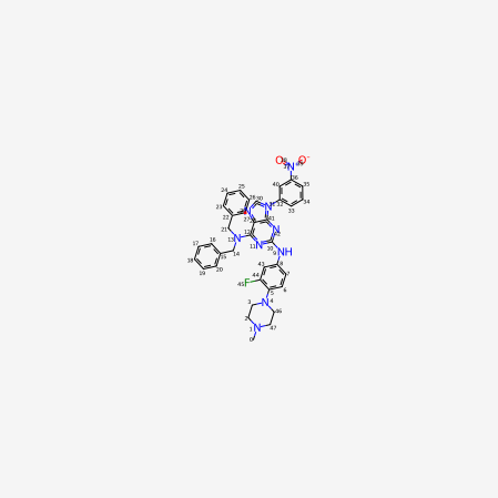 CN1CCN(c2ccc(Nc3nc(N(Cc4ccccc4)Cc4ccccc4)c4ncn(-c5cccc([N+](=O)[O-])c5)c4n3)cc2F)CC1